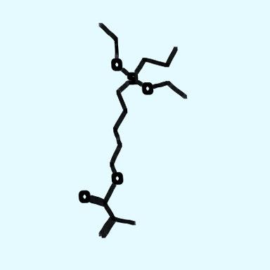 C=C(C)C(=O)OCCCCC[Si](CCC)(OCC)OCC